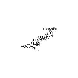 CCCCN(CCCC)C(=O)Cc1nc(SCC2=C(C(=O)O)N3C(=O)C(NC(=O)C(N)c4ccc(O)cc4)[C@@H]3SC2)n[nH]1